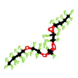 FC(F)(OC(F)(F)C(F)(F)OC(F)(F)C(F)(F)C(F)(F)C(F)(F)F)OC(F)(F)C(F)(F)OC(F)(F)C(F)(F)C(F)(F)C(F)(F)F